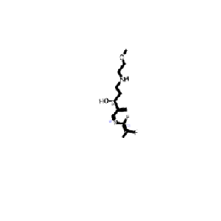 C=C(/C=N\C(F)=C(/C)F)[C@@H](O)CCNCCOC